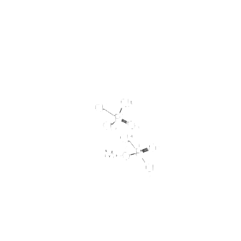 COP(=O)(Cl)Cl.O=P(Cl)(Cl)Cl